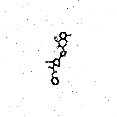 COc1cc(-c2cn(C3CCc4c(F)cccc4N(CC(F)(F)F)C3=O)nn2)ccc1C(=O)NCc1ccccc1